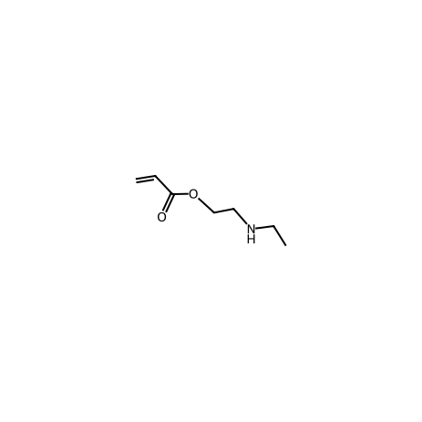 C=CC(=O)OCCNCC